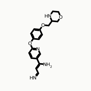 N=C/C=C(\N)c1ccc(Oc2ccc(OCC3COCCN3)cc2)nc1